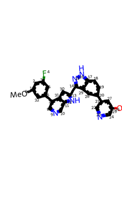 COc1cc(F)cc(-c2cncc3[nH]c(-c4n[nH]c5ccc(-c6cncc(O)c6)cc45)cc23)c1